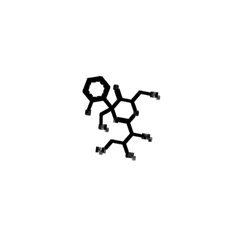 CCC1OC(C(N)C(C)CC)=NC(CC)(c2ccccc2Cl)C1=O